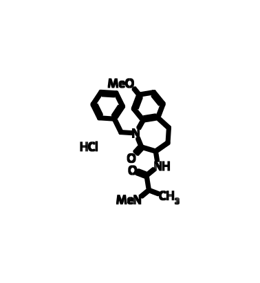 CNC(C)C(=O)NC1CCc2ccc(OC)cc2N(Cc2ccccc2)C1=O.Cl